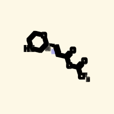 O=C(/C=C/[C@@H]1CNCCO1)OC(=O)C(F)(F)F